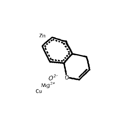 C1=COc2ccccc2C1.[Cu].[Mg+2].[O-2].[Zn]